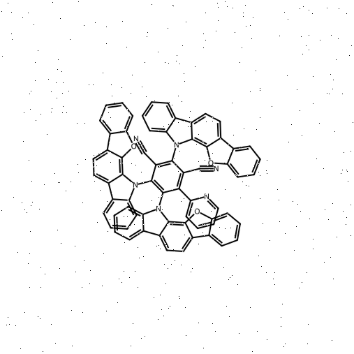 N#Cc1c(-c2ccccn2)c(-n2c3ccccc3c3ccc4c5ccccc5oc4c32)c(-n2c3ccccc3c3ccc4c5ccccc5oc4c32)c(C#N)c1-n1c2ccccc2c2ccc3c4ccccc4oc3c21